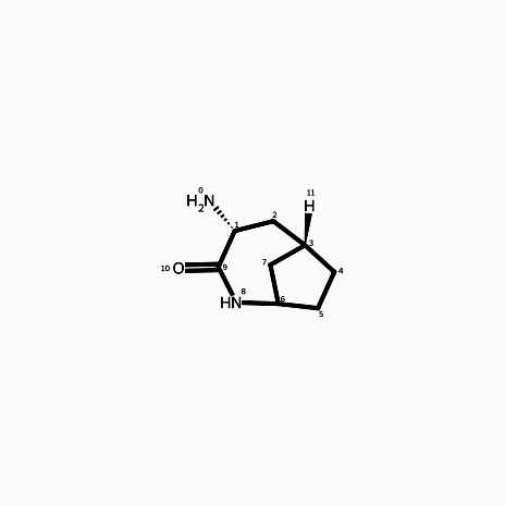 N[C@@H]1C[C@@H]2CCC(C2)NC1=O